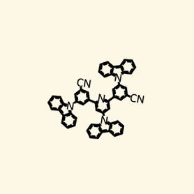 N#Cc1cc(-c2cc(-n3c4ccccc4c4ccccc43)cc(-c3cc(C#N)cc(-n4c5ccccc5c5ccccc54)c3)n2)cc(-n2c3ccccc3c3ccccc32)c1